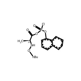 CCCCON[C@@H](C)C(=O)OP(=O)(Cl)Oc1cccc2ccccc12